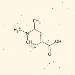 CC(=CC(C)N(C)C)C(=O)O